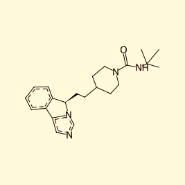 CC(C)(C)NC(=O)N1CCC(CC[C@@H]2c3ccccc3-c3cncn32)CC1